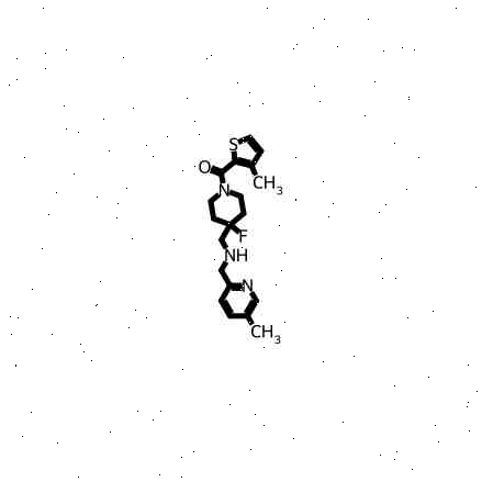 Cc1ccc(CNCC2(F)CCN(C(=O)c3sccc3C)CC2)nc1